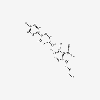 CCCCOc1ccc(COC2CCC(c3ccc(C)cc3)OC2)c(F)c1C(F)F